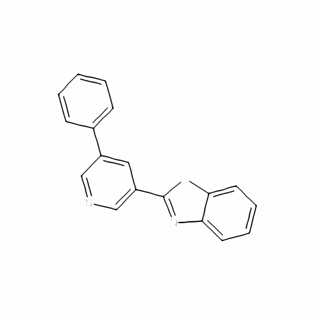 c1ccc(-c2cncc(-c3nc4ccccc4s3)c2)cc1